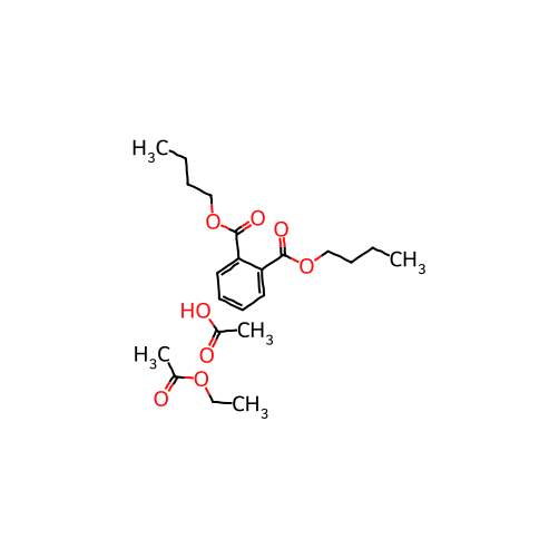 CC(=O)O.CCCCOC(=O)c1ccccc1C(=O)OCCCC.CCOC(C)=O